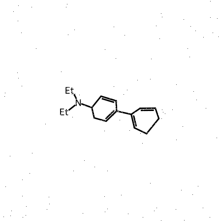 CCN(CC)C1C=CC(C2=CCCC=C2)=CC1